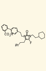 CC(C)CCc1c(F)n(CCC2CCCCC2)c(=O)n1CCc1ccc(-c2ccccc2C(=O)O)cc1